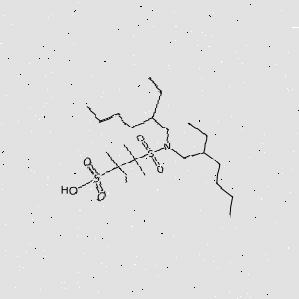 CCCCC(CC)CN(CC(CC)CCCC)S(=O)(=O)C(C)(C)C(C)(C)S(=O)(=O)O